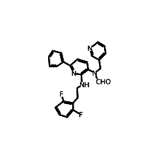 O=CN(Cc1cccnc1)c1ccc(-c2ccccc2)nc1NCCc1c(F)cccc1F